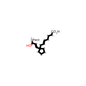 CCCCCC(O)C=CC1(CC=CCCCC(=O)O)CCCC1